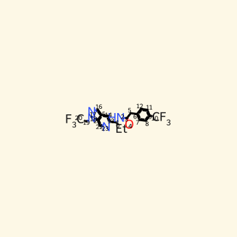 CCC(NC(=O)Cc1ccc(C(F)(F)F)cc1)c1cc2cnn(CC(F)(F)F)c2cn1